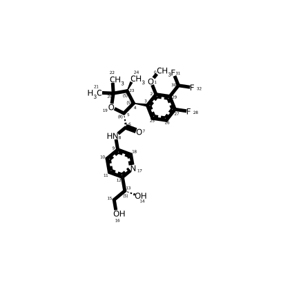 COc1c([C@H]2[C@H](C(=O)Nc3ccc([C@H](O)CO)nc3)OC(C)(C)[C@H]2C)ccc(F)c1C(F)F